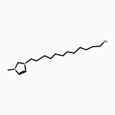 CN1C=CN(CCCCCCCCCCCCS)C1